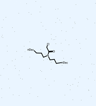 CCCCCCCCCCCCCN(CCCCCCCCCCCCC)C(=O)CCl